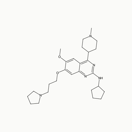 COc1cc2c(C3CCN(C)CC3)nc(NC3CCCC3)nc2cc1OCCCN1CCCC1